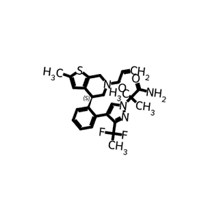 C=CC(=O)N1Cc2sc(C)cc2[C@H](c2ccccc2-c2cn(C(C)(C)C(N)=O)nc2C(C)(F)F)C1